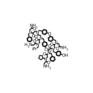 CC(C)CN(CC(=O)N(CC(=O)N(CC(=O)N(CC(N)=O)Cc1ccccc1)Cc1ccc(Oc2cccc(CN(CC(N)=O)C(=O)CN(Cc3ccc(O)cc3)C(=O)CN(Cc3ccccc3)C(=O)CN(C(=O)CN)C3CCCC3)c2)cc1)Cc1ccc(C(F)(F)F)cc1)C(=O)CN